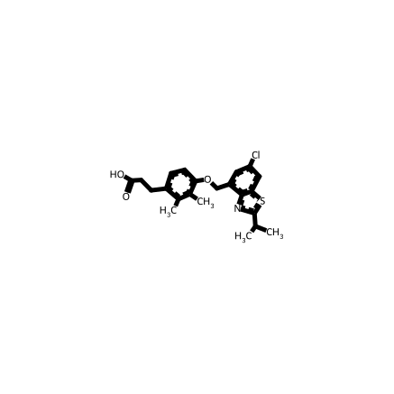 Cc1c(CCC(=O)O)ccc(OCc2cc(Cl)cc3sc(C(C)C)nc23)c1C